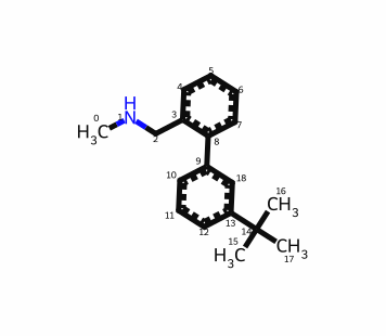 CNCc1ccccc1-c1cccc(C(C)(C)C)c1